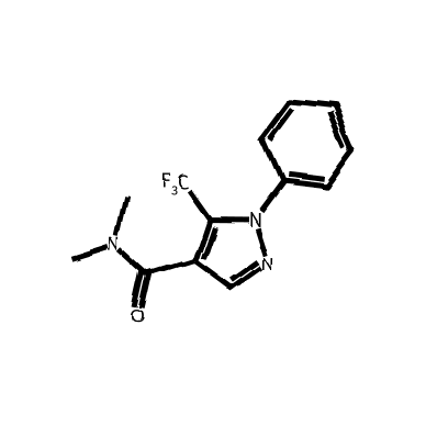 CN(C)C(=O)c1cnn(-c2ccccc2)c1C(F)(F)F